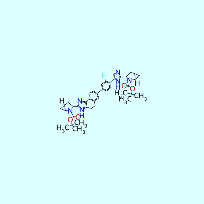 CC(C)(C)OC(=O)N1C2C[C@@H]2C[C@H]1c1nc2c([nH]1)CCc1cc(-c3ccc(-c4cnc([C@@H]5CC6C[C@H]6N5C(=O)OC(C)(C)C)[nH]4)c(F)c3)ccc1-2